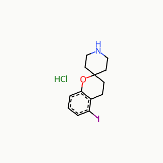 Cl.Ic1cccc2c1CCC1(CCNCC1)O2